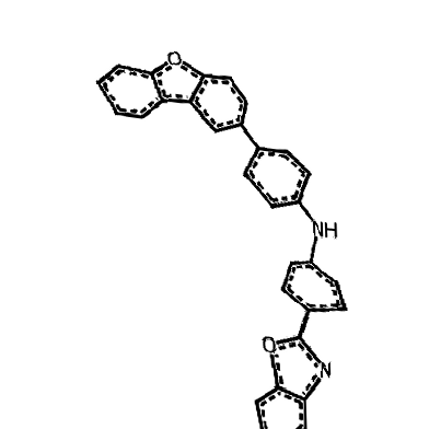 c1ccc2oc(-c3ccc(Nc4ccc(-c5ccc6oc7ccccc7c6c5)cc4)cc3)nc2c1